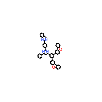 c1ccc(-c2cc(-c3cc(-c4ccc5oc6ccccc6c5c4)cc(-c4ccc5oc6ccccc6c5c4)c3)nc(-c3ccc(-c4ncc5ccccc5n4)cc3)n2)cc1